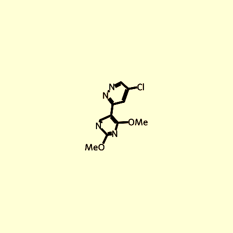 COc1ncc(-c2cc(Cl)cnn2)c(OC)n1